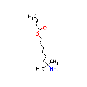 CC=CC(=O)OCCCCCCC(C)(C)N